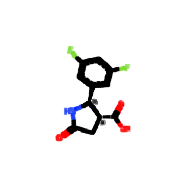 O=C1C[C@@H](C(=O)O)[C@H](c2cc(F)cc(F)c2)N1